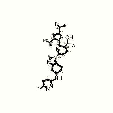 Cc1ccc(Nc2ccc3c(c2)ncn3-c2ccc([C@H](C)O)c(-n3nc(C(F)F)cc3C(F)F)n2)nn1